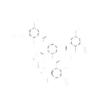 BCc1cc(CB)c(CB)c(C(=O)Oc2cc(OC(=O)c3cc(CB)cc(CB)c3CB)c(C(=O)OC(CS(=O)(=O)O)C(F)(F)F)c(OC(=O)c3cc(CB)cc(CB)c3CB)c2)c1